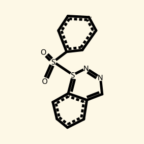 O=S(=O)(c1cc[c]cc1)S1=c2ccccc2=CN=N1